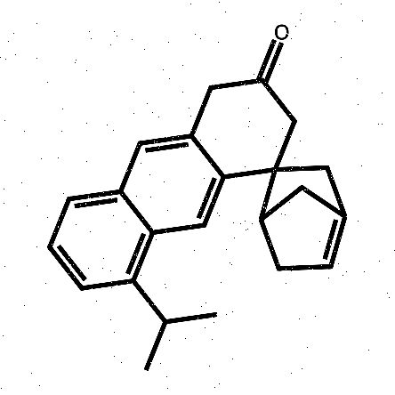 CC(C)c1cccc2cc3c(cc12)C1(CC(=O)C3)CC2=CCC1C2